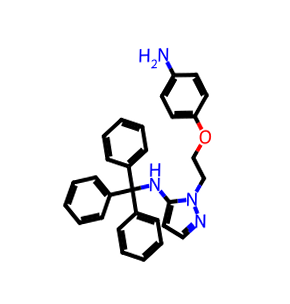 Nc1ccc(OCCn2nccc2NC(c2ccccc2)(c2ccccc2)c2ccccc2)cc1